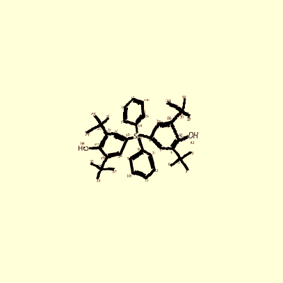 CC(C)(C)c1cc([Si](c2ccccc2)(c2ccccc2)c2cc(C(C)(C)C)c(O)c(C(C)(C)C)c2)cc(C(C)(C)C)c1O